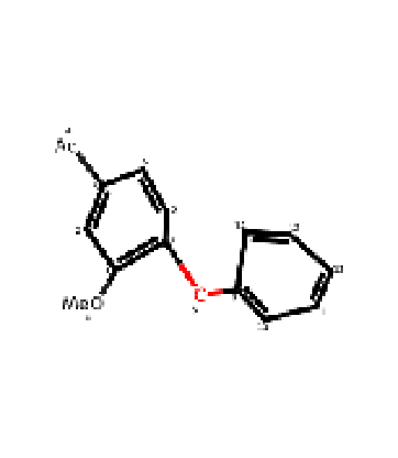 COc1cc(C(C)=O)ccc1Oc1ccccc1